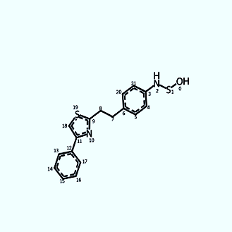 OSNc1ccc(CCc2nc(-c3ccccc3)cs2)cc1